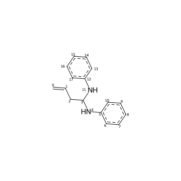 C=CCC(Nc1ccccc1)Nc1ccccc1